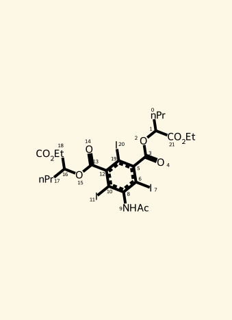 CCCC(OC(=O)c1c(I)c(NC(C)=O)c(I)c(C(=O)OC(CCC)C(=O)OCC)c1I)C(=O)OCC